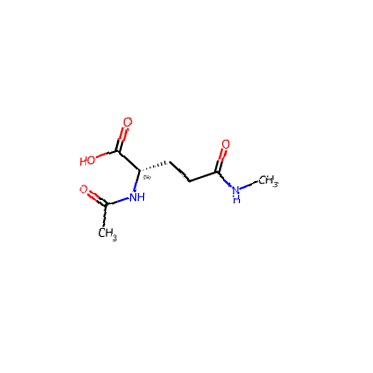 CNC(=O)CC[C@H](NC(C)=O)C(=O)O